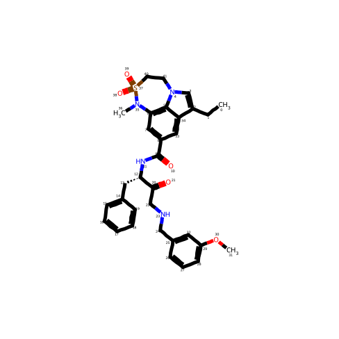 CCc1cn2c3c(cc(C(=O)N[C@@H](Cc4ccccc4)C(=O)CNCc4cccc(OC)c4)cc13)N(C)S(=O)(=O)CC2